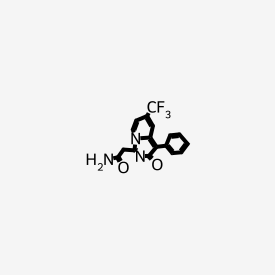 NC(=O)Cc1nc(=O)c(-c2ccccc2)c2cc(C(F)(F)F)ccn12